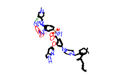 C=C(CCC)C1=C(CN2CCN(c3ccc(C(=O)NS(=O)(=O)c4ccc(NCC5(F)CCN(C)CC5)c([N+](=O)[O-])c4)c(Oc4cnc5[nH]ccc5c4)c3)CC2)CCC(C)(C)C1